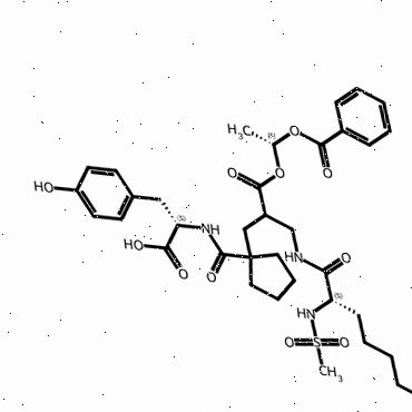 C[C@H](OC(=O)c1ccccc1)OC(=O)C(CNC(=O)[C@H](CCCCN)NS(C)(=O)=O)CC1(C(=O)N[C@@H](Cc2ccc(O)cc2)C(=O)O)CCCC1